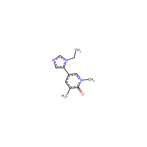 CCn1cncc1-c1cc(C)c(=O)n(C)c1